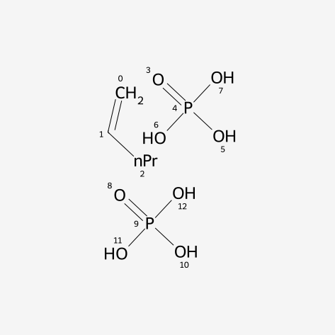 C=CCCC.O=P(O)(O)O.O=P(O)(O)O